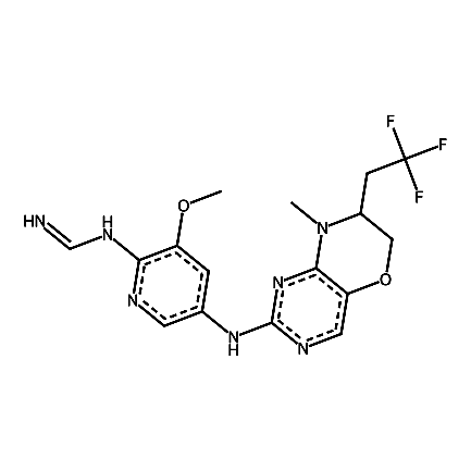 COc1cc(Nc2ncc3c(n2)N(C)C(CC(F)(F)F)CO3)cnc1NC=N